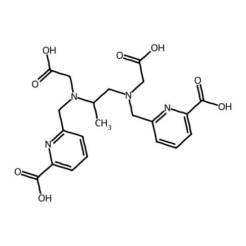 CC(CN(CC(=O)O)Cc1cccc(C(=O)O)n1)N(CC(=O)O)Cc1cccc(C(=O)O)n1